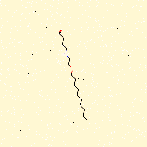 CCCCCCCCCCOCCNCCCC=O